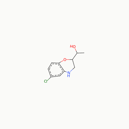 CC(O)C1CNc2cc(Cl)ccc2O1